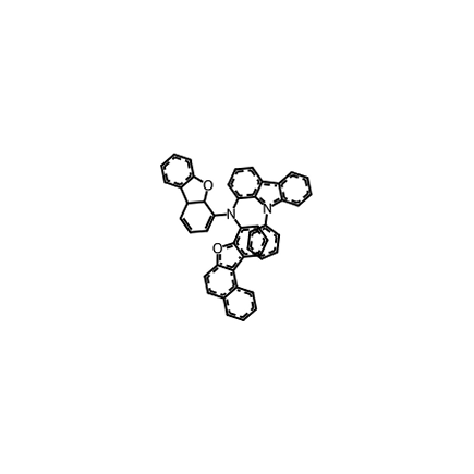 C1=CC2c3ccccc3OC2C(N(c2cccc3c2oc2ccc4ccccc4c23)c2cccc3c4ccccc4n(-c4ccccc4)c23)=C1